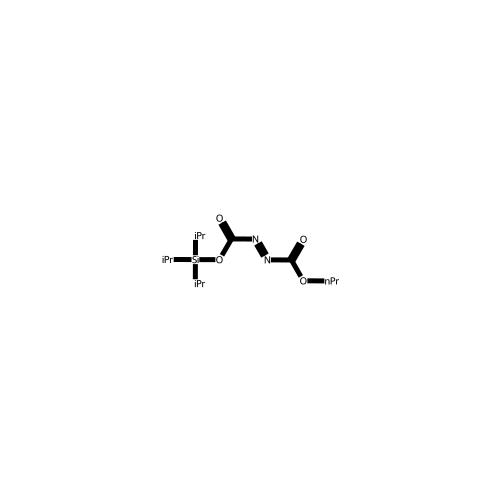 CCCOC(=O)/N=N/C(=O)O[Si](C(C)C)(C(C)C)C(C)C